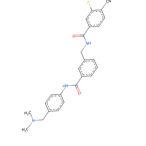 CN(C)Cc1ccc(NC(=O)c2cccc(CNC(=O)c3ccc(C#N)c(F)c3)c2)cc1